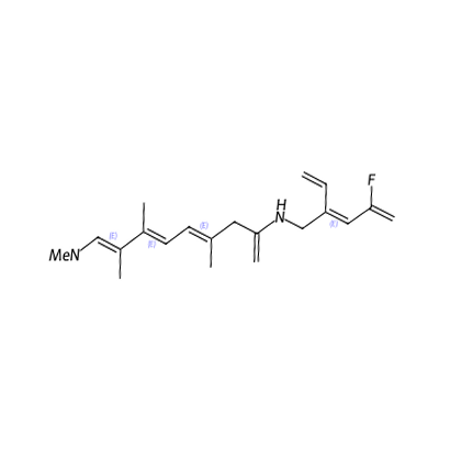 C=C/C(=C\C(=C)F)CNC(=C)C/C(C)=C/C=C(C)/C(C)=C/NC